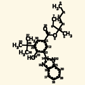 CCCCC(C)(CC)OC(=O)c1cc(-n2nc3ccccc3n2)c(O)c(C(C)(C)C)c1